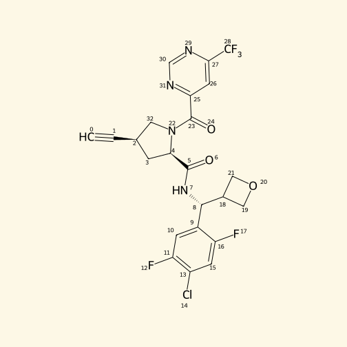 C#C[C@@H]1C[C@H](C(=O)N[C@@H](c2cc(F)c(Cl)cc2F)C2COC2)N(C(=O)c2cc(C(F)(F)F)ncn2)C1